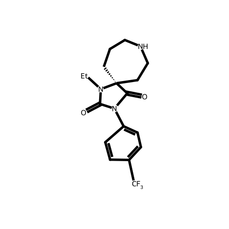 CCN1C(=O)N(c2ccc(C(F)(F)F)cc2)C(=O)[C@@]12CCCNCC2